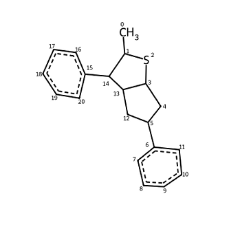 CC1SC2CC(c3ccccc3)CC2C1c1ccccc1